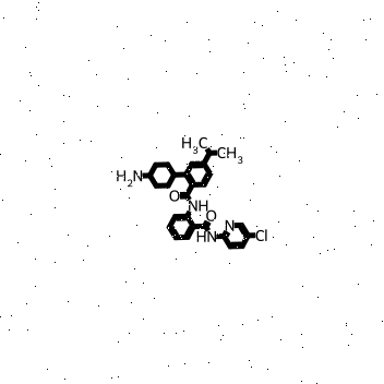 CC(C)c1ccc(C(=O)Nc2ccccc2C(=O)Nc2ccc(Cl)cn2)c(C2CCC(N)CC2)c1